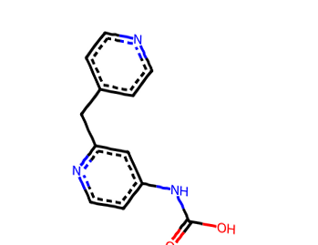 O=C(O)Nc1ccnc(Cc2ccncc2)c1